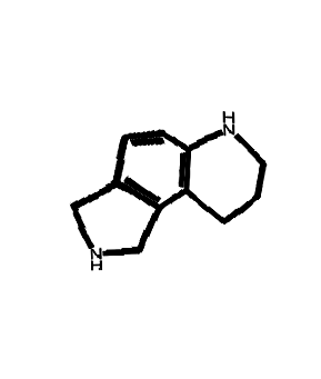 c1cc2c(c3c1CNC3)CCCN2